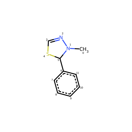 CN1N=[C]SC1c1ccccc1